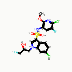 COc1nc(Cl)c(F)cc1NS(=O)(=O)c1cn(CC(O)CF)c2cc(Cl)ccc12